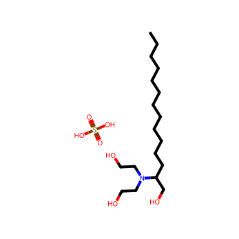 CCCCCCCCCCCCC(CO)N(CCO)CCO.O=S(=O)(O)O